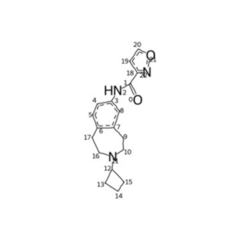 O=C(Nc1ccc2c(c1)CCN(C1CCC1)CC2)c1ccon1